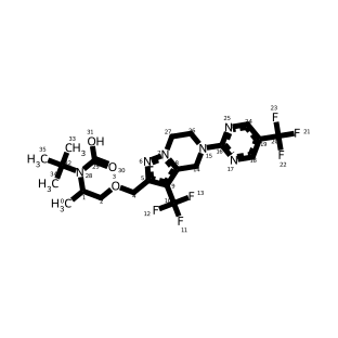 CC(COCc1nn2c(c1C(F)(F)F)CN(c1ncc(C(F)(F)F)cn1)CC2)N(C(=O)O)C(C)(C)C